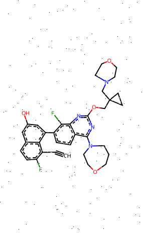 C#Cc1c(F)ccc2cc(O)cc(-c3ccc4c(N5CCCOCC5)nc(OCC5(CN6CCOCC6)CC5)nc4c3F)c12